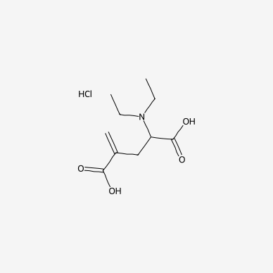 C=C(CC(C(=O)O)N(CC)CC)C(=O)O.Cl